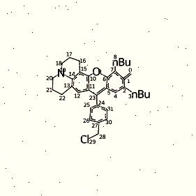 C=c1c(CCCC)cc2c(c1CCCC)Oc1c(cc3c4c1CCCN4CCC3)C=2c1ccc(CCl)cc1